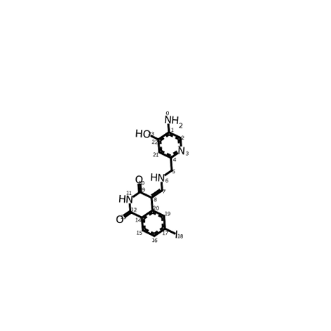 Nc1cnc(CNC=C2C(=O)NC(=O)c3ccc(I)cc32)cc1O